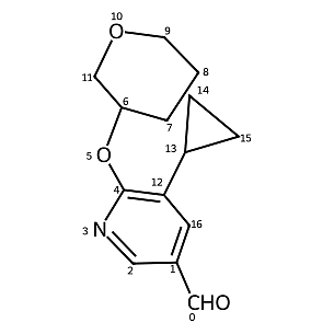 O=Cc1cnc(OC2CCCOC2)c(C2CC2)c1